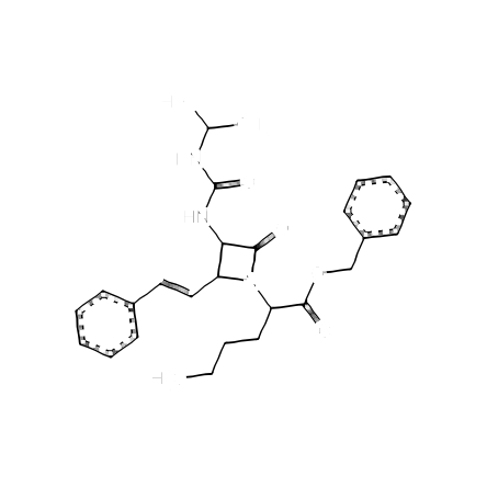 CCCCC(C(=O)OCc1ccccc1)N1C(=O)C(NC(=O)NC(C)C)C1C=Cc1ccccc1